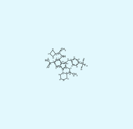 C[C@@H](Nc1nc(C(=O)O)nc2nc(CN(C)C3CCCCC3)n(Cc3ccc(C(F)(F)F)cc3)c12)C1CCC1